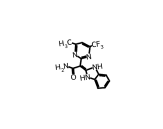 Cc1cc(C(F)(F)F)nc(C(C(N)=O)=C2Nc3ccccc3N2)n1